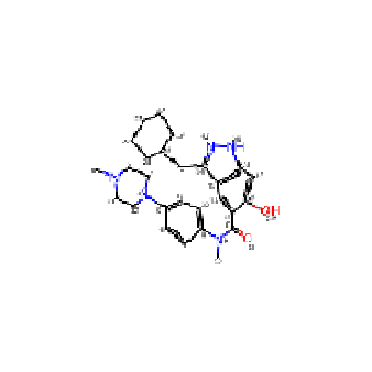 CN1CCN(c2ccc(N(C)C(=O)c3cc4c(CC5CCCCC5)n[nH]c4cc3O)cc2)CC1